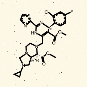 COC(=O)C1=C(CN2CCN3CN(C4CC4)C[C@@H]3[C@H]2C(=O)OC)NC(c2nccs2)=N[C@H]1c1ccc(F)cc1Cl